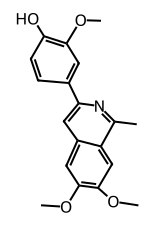 COc1cc(-c2cc3cc(OC)c(OC)cc3c(C)n2)ccc1O